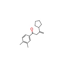 C=C(CC(=O)c1ccc(C)c(C)c1)C1CCCC1